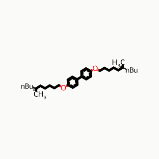 CCCC[C@H](C)CCCCCOc1ccc(-c2ccc(OCCCCC[C@@H](C)CCCC)cc2)cc1